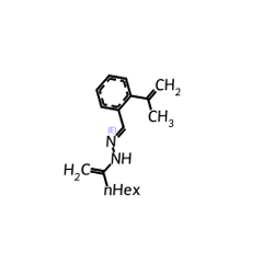 C=C(CCCCCC)N/N=C/c1ccccc1C(=C)C